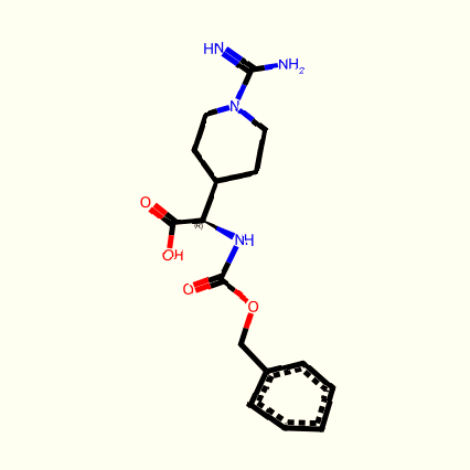 N=C(N)N1CCC([C@@H](NC(=O)OCc2ccccc2)C(=O)O)CC1